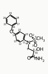 CS(=O)(=O)N(C[C@H](O)C(N)=O)c1ccc(Oc2ccccc2)cc1